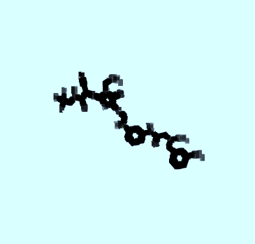 CCn1c(=C=C(C#N)C(=O)NCC(F)(F)F)sc(=C=CNc2cccc(NC(=O)CN(C)Cc3cccc(C)c3)c2)c1=O